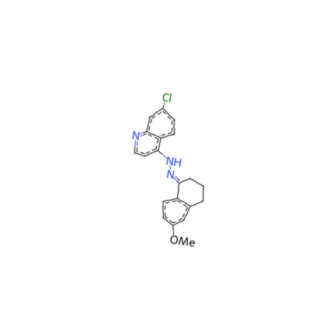 COc1ccc2c(c1)CCCC2=NNc1ccnc2cc(Cl)ccc12